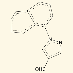 O=Cc1cnn(-c2cccc3ccccc23)c1